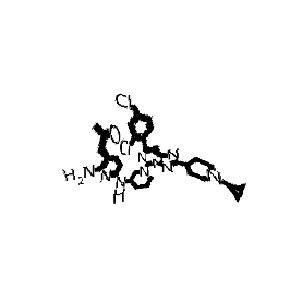 CC(=O)Cc1ccc(NC2CCCN(c3nc(-c4ccc(Cl)cc4Cl)cc4nc(C5CCN(C6CC6)CC5)nn34)C2)nc1N